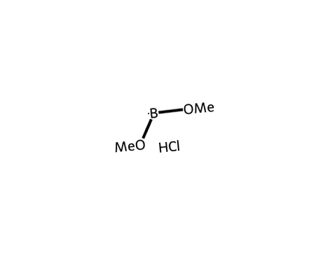 CO[B]OC.Cl